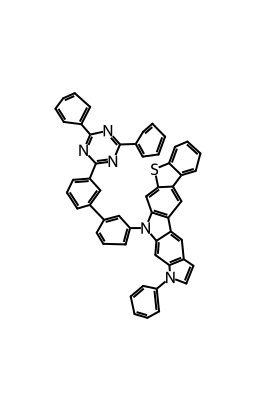 c1ccc(-c2nc(-c3ccccc3)nc(-c3cccc(-c4cccc(-n5c6cc7sc8ccccc8c7cc6c6cc7ccn(-c8ccccc8)c7cc65)c4)c3)n2)cc1